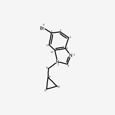 Brc1ccc2ncn(CC3CC3)c2c1